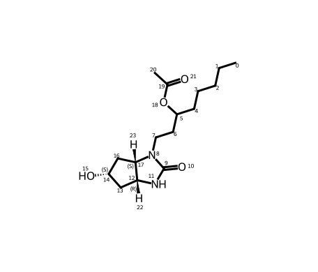 CCCCCC(CCN1C(=O)N[C@@H]2C[C@H](O)C[C@@H]21)OC(C)=O